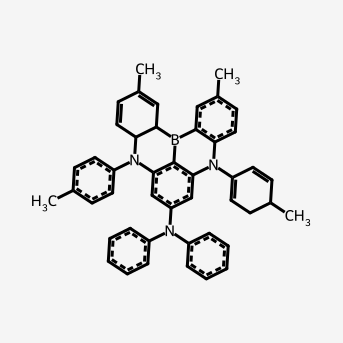 CC1=CC2B3c4cc(C)ccc4N(C4=CCC(C)C=C4)c4cc(N(c5ccccc5)c5ccccc5)cc(c43)N(c3ccc(C)cc3)C2C=C1